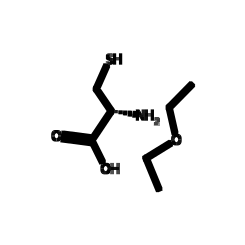 CCOCC.N[C@@H](CS)C(=O)O